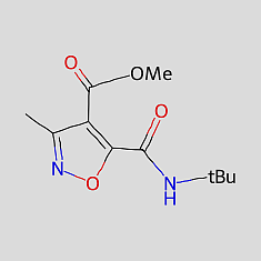 COC(=O)c1c(C)noc1C(=O)NC(C)(C)C